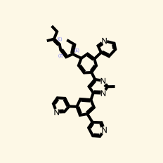 C\C=C(/C=C\C=C(/C)CC)C1C=CC(c2cc(-c3cc(-c4cccnc4)cc(-c4cccnc4)c3)nc(C)n2)=CC(c2cccnc2)=C1